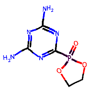 Nc1nc(N)nc(P2(=O)OCCO2)n1